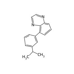 CC(C)c1cccc(-c2cccc3nccnc23)c1